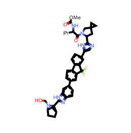 COC(=O)NC(C(=O)N1CC2(CC2)CC1c1ncc(-c2ccc3c(c2)C(F)(F)c2cc(-c4ccc5nc(C6C7CCC(C7)N6CO)[nH]c5c4)ccc2-3)[nH]1)C(C)C